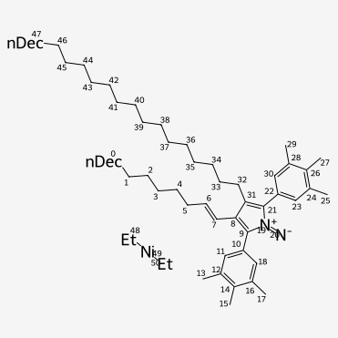 CCCCCCCCCCCCCCCC=CC1=C(c2cc(C)c(C)c(C)c2)[N+](=[N-])C(c2cc(C)c(C)c(C)c2)=C1CCCCCCCCCCCCCCCCCCCCCCCCC.C[CH2][Ni][CH2]C